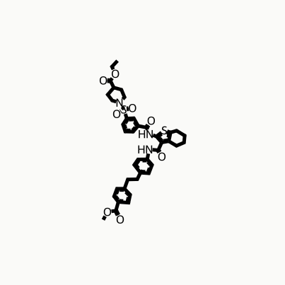 CCOC(=O)C1CCN(S(=O)(=O)c2cccc(C(=O)Nc3sc4c(c3C(=O)Nc3ccc(CCc5ccc(C(=O)OC)cc5)cc3)CCCC4)c2)CC1